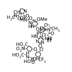 CC1COc2ccccc2N1C(=O)C(Cl)Cl.CCNc1nc(Cl)nc(NC(C)C)n1.COc1cc(OC)nc(NC(=O)NS(=O)(=O)c2ncccc2C(=O)N(C)C)n1.O=C(O)CNCP(=O)(O)O.O=C(O)c1cc(Oc2ccc(C(F)(F)F)cc2Cl)ccc1[N+](=O)[O-]